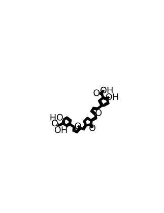 O=C1/C(=C/c2ccc(-c3ccc(O)c(C(=O)O)c3)o2)CC/C1=C\c1ccc(-c2ccc(O)c(C(=O)O)c2)o1